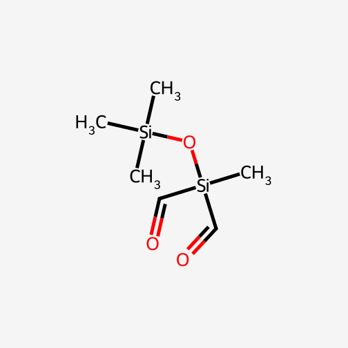 C[Si](C)(C)O[Si](C)(C=O)C=O